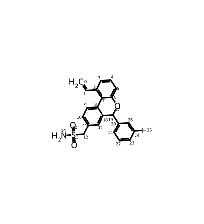 C=Cc1cccc2c1-c1ccc(CS(N)(=O)=O)cc1C(c1cccc(F)c1)O2